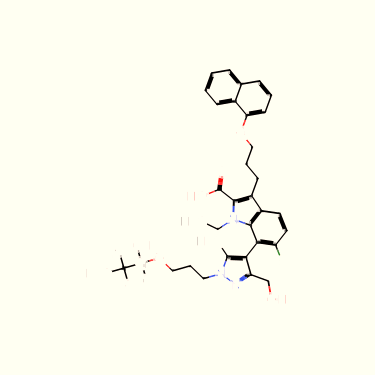 CCn1c(C(=O)O)c(CCCOc2cccc3ccccc23)c2ccc(Cl)c(-c3c(CO)nn(CCCO[Si](C)(C)C(C)(C)C)c3C)c21